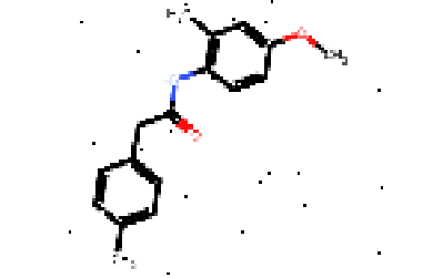 COc1ccc(NC(=O)Cc2ccc(C)cc2)c(C)c1